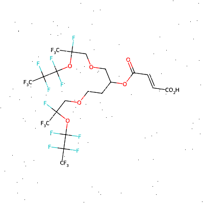 O=C(O)C=CC(=O)OC(CCOCC(F)(OC(F)(F)C(F)(F)C(F)(F)F)C(F)(F)F)COCC(F)(OC(F)(F)C(F)(F)C(F)(F)F)C(F)(F)F